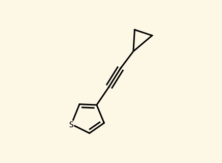 C(#CC1CC1)c1ccsc1